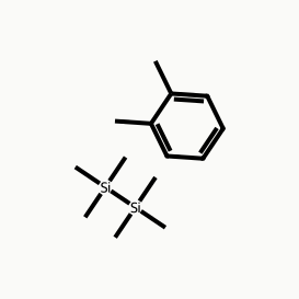 C[Si](C)(C)[Si](C)(C)C.Cc1ccccc1C